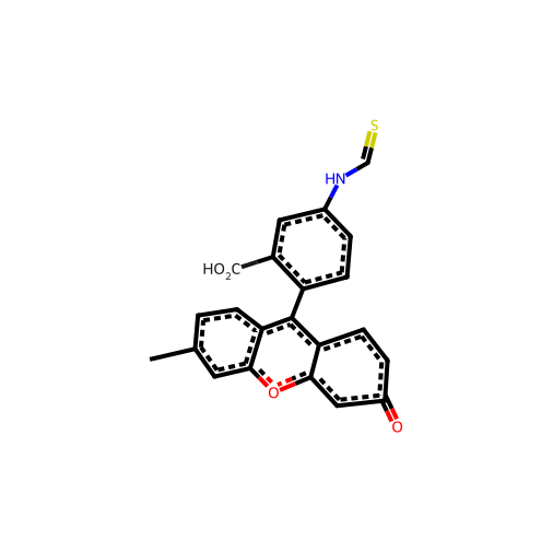 Cc1ccc2c(-c3ccc(NC=S)cc3C(=O)O)c3ccc(=O)cc-3oc2c1